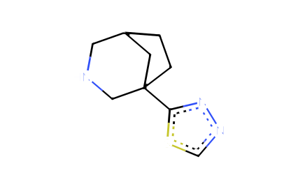 c1nnc(C23CCC(CNC2)C3)s1